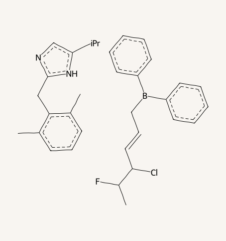 CC(F)C(Cl)C=CCB(c1ccccc1)c1ccccc1.Cc1cccc(C)c1Cc1ncc(C(C)C)[nH]1